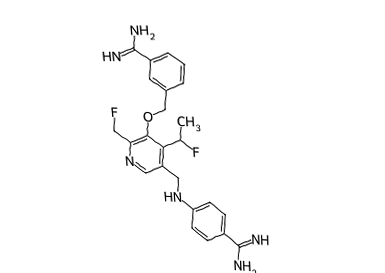 CC(F)c1c(CNc2ccc(C(=N)N)cc2)cnc(CF)c1OCc1cccc(C(=N)N)c1